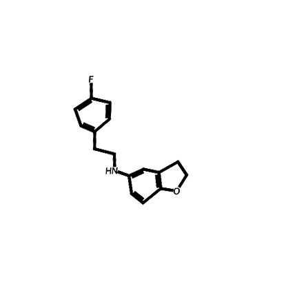 Fc1ccc(CCNc2ccc3c(c2)CCO3)cc1